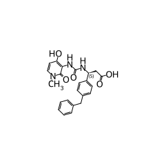 Cn1ccc(O)c(NC(=O)N[C@@H](CC(=O)O)c2ccc(Cc3ccccc3)cc2)c1=O